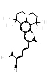 CC1(C)CCN2CCC(C)(C)c3c2c1cc1cc(C=CC=C(C#N)C(=O)O)c(=O)oc31